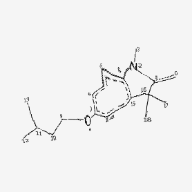 C=C1N(C)c2ccc(OCCC(C)C)cc2C1(C)C